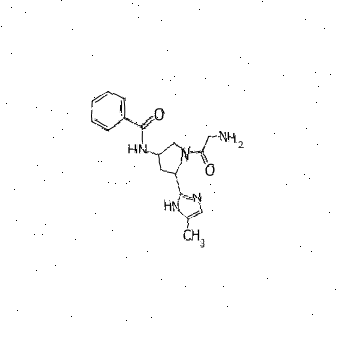 Cc1cnc(C2CC(NC(=O)c3ccccc3)CN2C(=O)CN)[nH]1